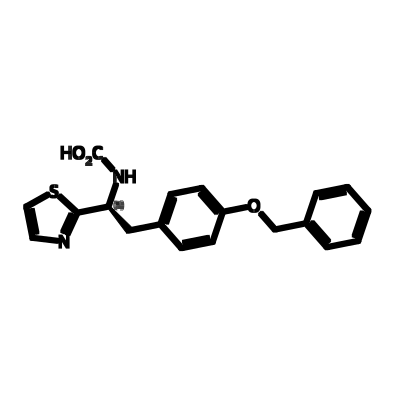 O=C(O)N[C@@H](Cc1ccc(OCc2ccccc2)cc1)c1nccs1